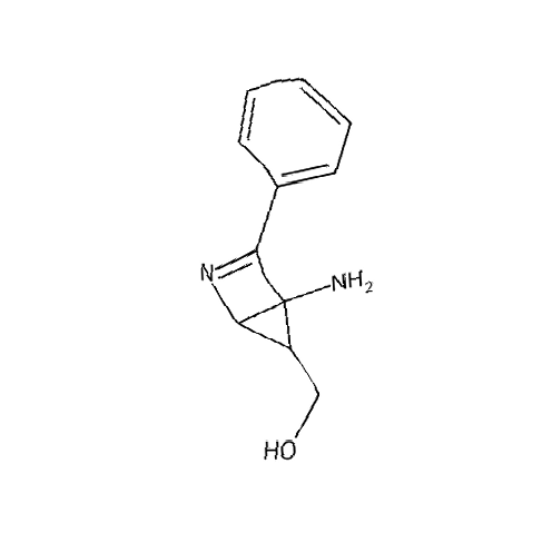 NC12C(c3ccccc3)=NC1C2CO